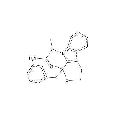 CC(C(N)=O)n1c2c(c3ccccc31)CCOC2(C)Cc1ccccc1